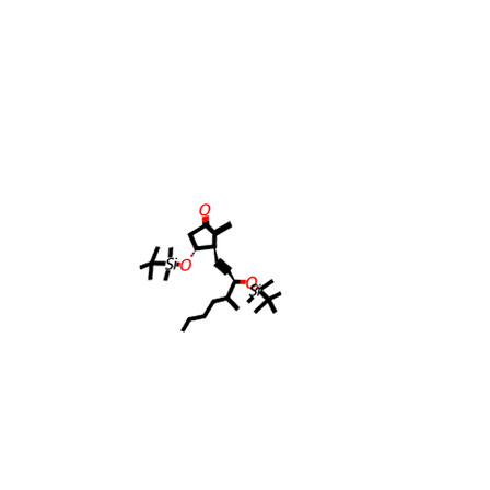 C=C1C(=O)C[C@@H](O[Si](C)(C)C(C)(C)C)[C@@H]1C#C[C@@H](O[Si](C)(C)C(C)(C)C)C(C)CCCC